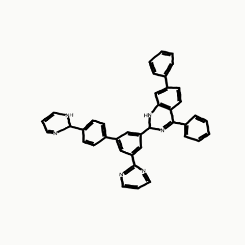 C1=CNC(c2ccc(-c3cc(-c4ncccn4)cc(C4N=C(c5ccccc5)c5ccc(-c6ccccc6)cc5N4)c3)cc2)N=C1